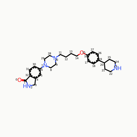 O=C1NCc2cc(N3CCN(CCCCOc4ccc(C5CCNCC5)cc4)CC3)ccc21